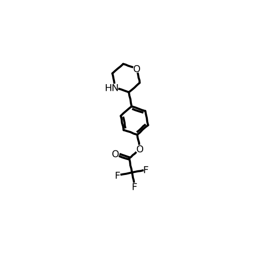 O=C(Oc1ccc(C2COCCN2)cc1)C(F)(F)F